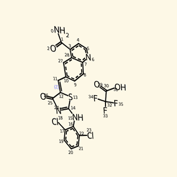 NC(=O)c1ccnc2ccc(/C=C3\SC(Nc4c(Cl)cccc4Cl)=NC3=O)cc12.O=C(O)C(F)(F)F